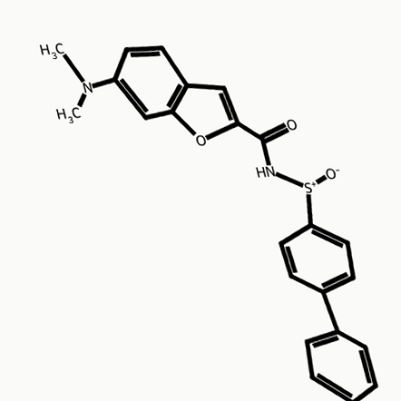 CN(C)c1ccc2cc(C(=O)N[S+]([O-])c3ccc(-c4ccccc4)cc3)oc2c1